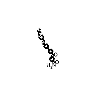 CC(C)(F)CN1CCC(COc2ccc(-c3ccc(C(=O)N4CCC[C@H](C(N)=O)C4)cc3)cc2)CC1